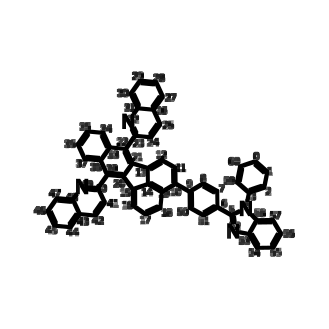 c1ccc(-n2c(-c3ccc(-c4ccc5c6c(cccc46)-c4c-5c(-c5ccc6ccccc6n5)c5ccccc5c4-c4ccc5ccccc5n4)cc3)nc3ccccc32)cc1